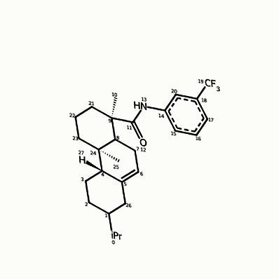 CC(C)C1CC[C@H]2C(=CCC3[C@](C)(C(=O)Nc4cccc(C(F)(F)F)c4)CCC[C@@]32C)C1